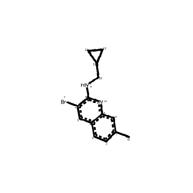 Cc1ccc2cc(Br)c(NCC3CC3)nc2c1